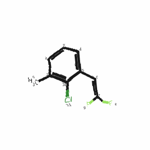 Cc1cccc(C=C(F)F)c1Cl